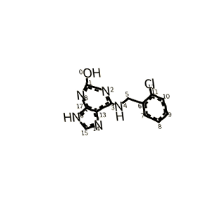 Oc1nc(NCc2ccccc2Cl)c2nc[nH]c2n1